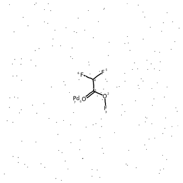 O=C(OF)C(F)F.[Pd]